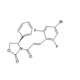 O=C(/C=C/c1c(F)cc(Br)cc1F)N1C(=O)OC[C@H]1c1ccccc1